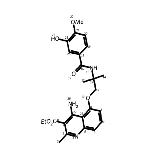 CCOC(=O)c1c(C)nc2cccc(OCC(C)(C)NC(=O)c3ccc(OC)c(O)c3)c2c1N